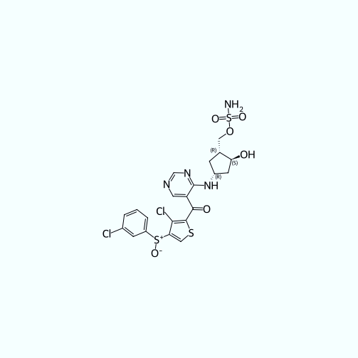 NS(=O)(=O)OC[C@H]1C[C@@H](Nc2ncncc2C(=O)c2scc([S+]([O-])c3cccc(Cl)c3)c2Cl)C[C@@H]1O